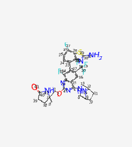 CC1(COc2nc(N3CC4CCC(C3)N4)c3cc(C(F)(F)F)c(-c4ccc(F)c5sc(N)nc45)c(F)c3n2)CCC(=O)N1